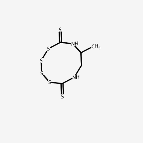 CC1CNC(=S)SSSSC(=S)N1